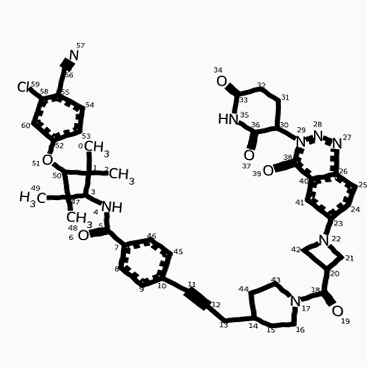 CC1(C)C(NC(=O)c2ccc(C#CCC3CCN(C(=O)C4CN(c5ccc6nnn(C7CCC(=O)NC7=O)c(=O)c6c5)C4)CC3)cc2)C(C)(C)C1Oc1ccc(C#N)c(Cl)c1